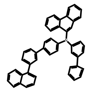 c1ccc(-c2cccc(N(c3ccc(-c4cccc(-c5cccc6ccccc56)c4)cc3)c3cc4ccccc4c4ccccc34)c2)cc1